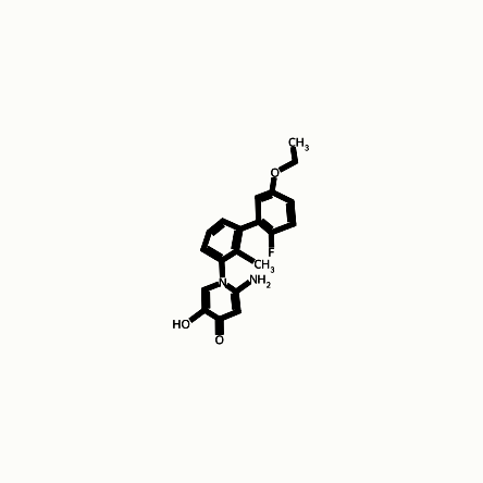 CCOc1ccc(F)c(-c2cccc(-n3cc(O)c(=O)cc3N)c2C)c1